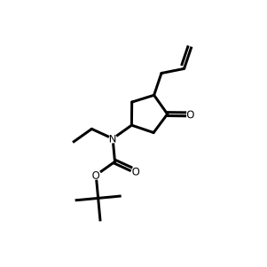 C=CCC1CC(N(CC)C(=O)OC(C)(C)C)CC1=O